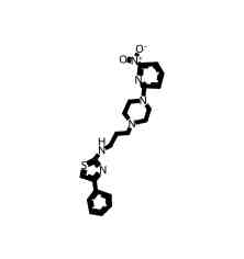 O=[N+]([O-])c1cccc(N2CCN(CCCNc3nc(-c4ccccc4)cs3)CC2)n1